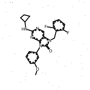 COc1cccc(-n2c(=O)n(Cc3c(F)cccc3F)c3cnc(NC4CCC4)nc32)c1